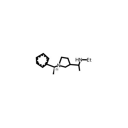 CCNC(C)C1CCN([C@@H](C)c2ccccc2)C1